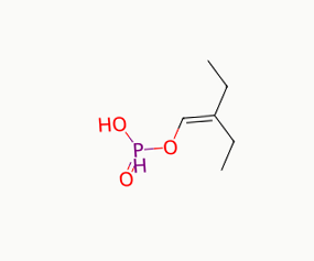 CCC(=CO[PH](=O)O)CC